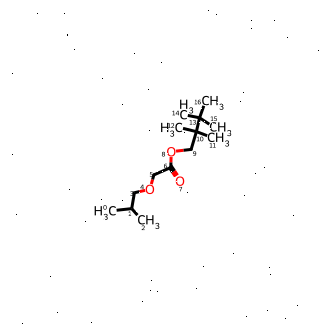 CC(C)COCC(=O)OCC(C)(C)C(C)(C)C